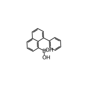 OB(O)c1cccc2cccc(-c3ccccc3)c12